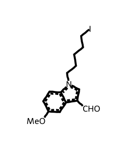 COc1ccc2c(c1)c(C=O)cn2CCCCCI